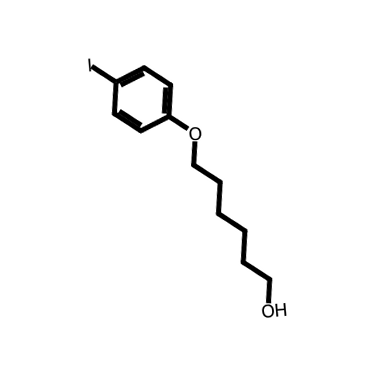 OCCCCCCOc1ccc(I)cc1